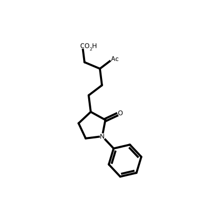 CC(=O)C(CCC1CCN(c2ccccc2)C1=O)CC(=O)O